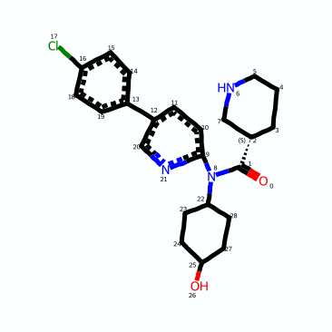 O=C([C@H]1CCCNC1)N(c1ccc(-c2ccc(Cl)cc2)cn1)C1CCC(O)CC1